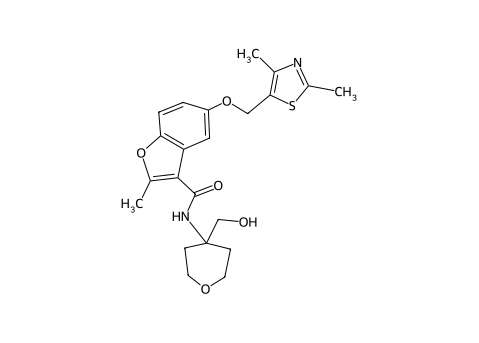 Cc1nc(C)c(COc2ccc3oc(C)c(C(=O)NC4(CO)CCOCC4)c3c2)s1